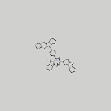 CC1(C)C(/C(=N\C(N)c2ccc3sc4ccccc4c3c2)c2ccc(-n3c4ccccc4c4cc5ccccc5cc43)cc2)=Cc2ccccc21